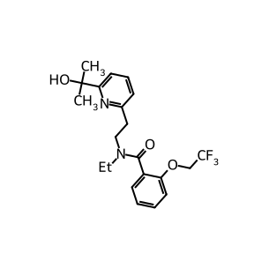 CCN(CCc1cccc(C(C)(C)O)n1)C(=O)c1ccccc1OCC(F)(F)F